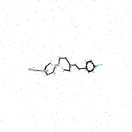 CCCCC[Si@H]1CC[C@H]([Si@H]2CC[C@H](CCc3ccc(F)cc3)CC2)CC1